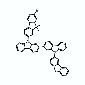 CC1(C)c2cc(Br)ccc2-c2ccc(-n3c4ccccc4c4ccc(-c5ccc6c7ccccc7n(-c7ccc8oc9ccccc9c8c7)c6c5)cc43)cc21